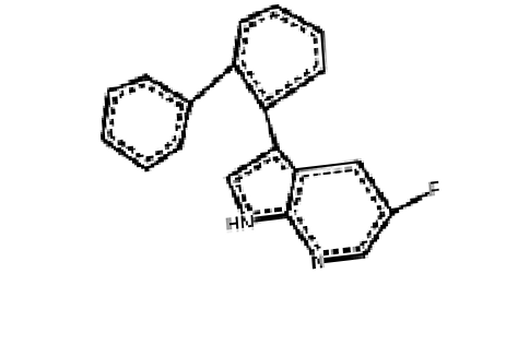 Fc1cnc2[nH]cc(-c3ccccc3-c3ccccc3)c2c1